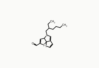 CCCCC(CC)CN1C=C2C=CSC23SC(C=O)=CC13